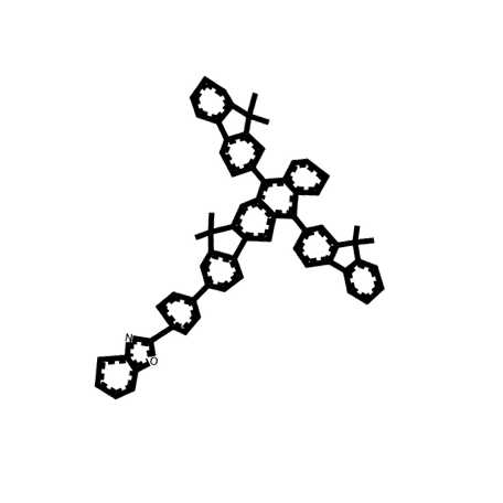 CC1(C)c2ccccc2-c2ccc(-c3c4ccccc4c(-c4ccc5c(c4)C(C)(C)c4ccccc4-5)c4cc5c(cc34)-c3ccc(-c4ccc(-c6nc7ccccc7o6)cc4)cc3C5(C)C)cc21